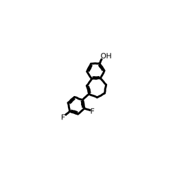 Oc1ccc2c(c1)CCCC(c1ccc(F)cc1F)=C2